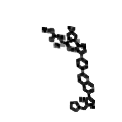 COC(=O)N[C@H](C(=O)N1CC2(CC2)C[C@H]1c1ncc(-c2ccc(-c3ccc4cc(-c5cnc(CC6CCCC6)[nH]5)ccc4c3)cc2)[nH]1)C(C)C